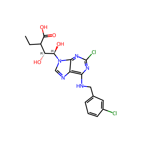 CCC(C(=O)O)[C@@H](O)[C@@H](O)n1cnc2c(NCc3cccc(Cl)c3)nc(Cl)nc21